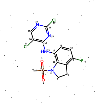 CS(=O)(=O)N1CCc2c(F)ccc(Nc3nc(Cl)ncc3Cl)c21